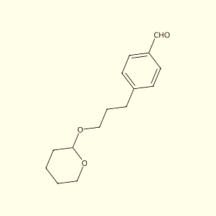 O=Cc1ccc(CCCOC2CCCCO2)cc1